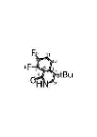 CC(C)(C)c1c[nH]c(=O)c2c(F)c(F)ccc12